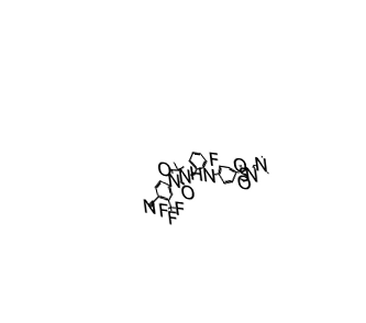 CN(C)C=NS(=O)(=O)c1ccc(Nc2ccccc2CN2C(=O)N(c3ccc(C#N)c(C(F)(F)F)c3)C(=O)C2(C)C)c(F)c1